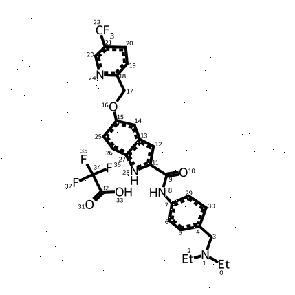 CCN(CC)Cc1ccc(NC(=O)c2cc3cc(OCc4ccc(C(F)(F)F)cn4)ccc3[nH]2)cc1.O=C(O)C(F)(F)F